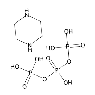 C1CNCCN1.O=P(O)(O)OP(=O)(O)OP(=O)(O)O